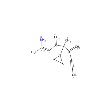 C=C(C#CC)C(C)(C(=C)/C=C(/C)N)C1CC1